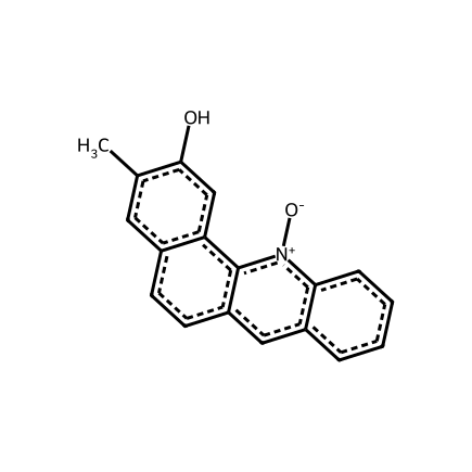 Cc1cc2ccc3cc4ccccc4[n+]([O-])c3c2cc1O